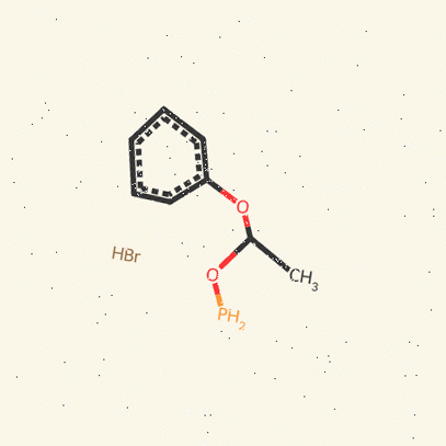 Br.CC(OP)Oc1ccccc1